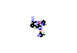 COc1nc(-c2cccc3sc(N)c(C#N)c23)c(F)c2nc(OC[C@]3(C)CN(C)CC[C@@H]3C(F)F)nc(N3C[C@H]4CC[C@@H](C3)N4)c12